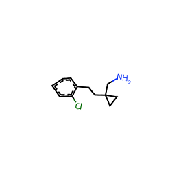 NCC1(CCc2ccccc2Cl)CC1